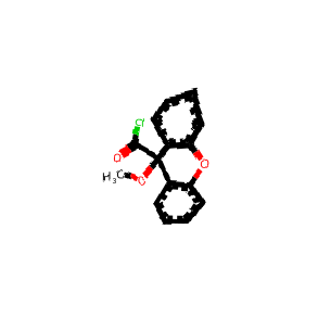 COC1(C(=O)Cl)c2ccccc2Oc2ccccc21